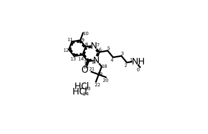 CNCCCCc1nc2c(C)cccc2c(=O)n1CC(C)(C)C.Cl.Cl